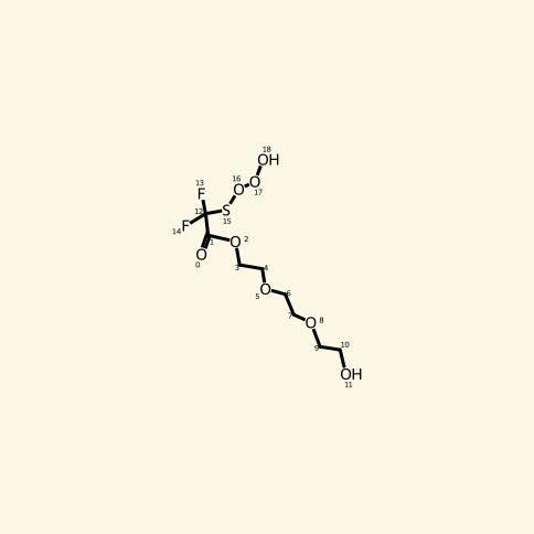 O=C(OCCOCCOCCO)C(F)(F)SOOO